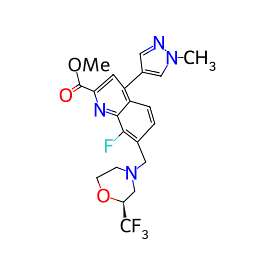 COC(=O)c1cc(-c2cnn(C)c2)c2ccc(CN3CCO[C@H](C(F)(F)F)C3)c(F)c2n1